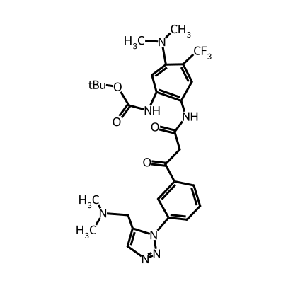 CN(C)Cc1cnnn1-c1cccc(C(=O)CC(=O)Nc2cc(C(F)(F)F)c(N(C)C)cc2NC(=O)OC(C)(C)C)c1